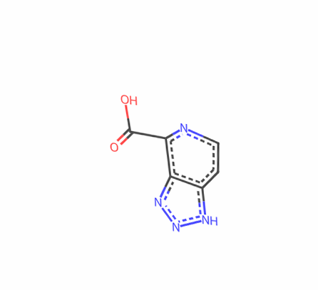 O=C(O)c1nccc2[nH]nnc12